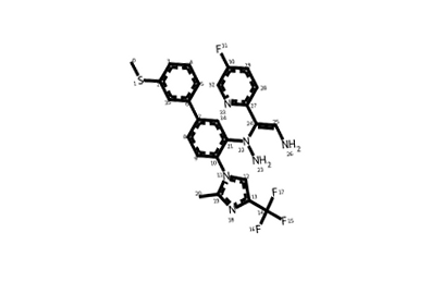 CSc1cccc(-c2ccc(-n3cc(C(F)(F)F)nc3C)c(N(N)/C(=C\N)c3ccc(F)cn3)c2)c1